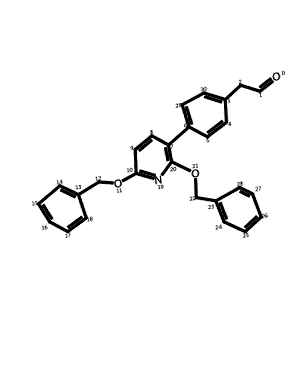 O=CCc1ccc(-c2ccc(OCc3ccccc3)nc2OCc2ccccc2)cc1